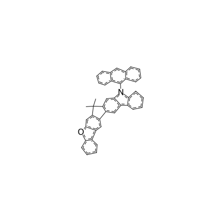 CC1(C)c2cc3oc4ccccc4c3cc2-c2cc3c4ccccc4n(-c4c5ccccc5cc5ccccc45)c3cc21